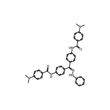 CN(C)c1ccc(C(=O)Nc2ccc(C(=NNc3ccccc3)c3ccc(NC(=O)c4ccc(N(C)C)cc4)cc3)cc2)cc1